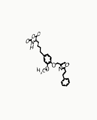 COc1cc(CCCCC2NC(=O)OC2=O)ccc1OCc1coc(C=Cc2ccccc2)n1